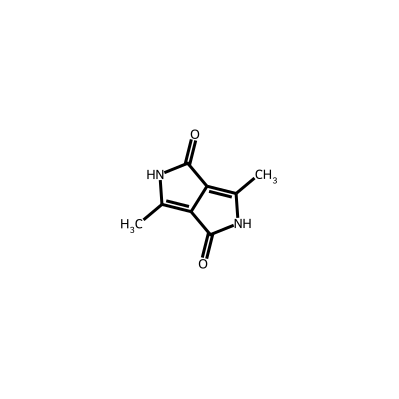 CC1=C2C(=O)NC(C)=C2C(=O)N1